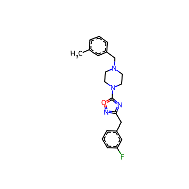 Cc1cccc(CN2CCN(c3nc(Cc4cccc(F)c4)no3)CC2)c1